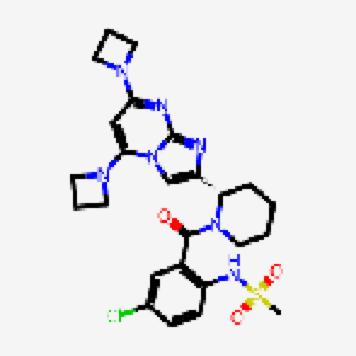 CS(=O)(=O)Nc1ccc(Cl)cc1C(=O)N1CCCC[C@H]1c1cn2c(N3CCC3)cc(N3CCC3)nc2n1